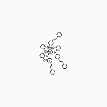 COc1ccccc1N(c1ccc(/C=C/c2ccccc2)cc1)c1cc(N(c2ccc(/C=C/c3ccccc3)cc2)c2ccccc2OC)cc(N(c2ccc(/C=C/c3ccccc3)cc2)c2ccccc2OC)c1